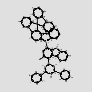 Cc1cc(-n2c3ccccc3c3c4c(ccc32)-c2ccccc2C42c3ccccc3-c3ccccc32)c2oc3ccccc3c2c1-c1nc(-c2ccccc2)nc(-c2ccccc2)n1